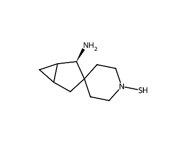 N[C@@H]1C2CC2CC12CCN(S)CC2